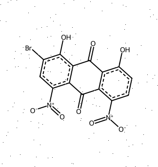 O=C1c2c([N+](=O)[O-])ccc(O)c2C(=O)c2c(O)c(Br)cc([N+](=O)[O-])c21